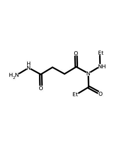 CCNN(C(=O)CC)C(=O)CCC(=O)NN